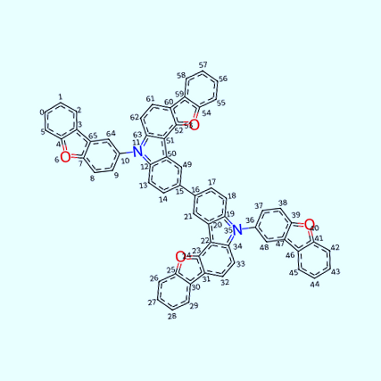 c1ccc2c(c1)oc1ccc(-n3c4ccc(-c5ccc6c(c5)c5c7oc8ccccc8c7ccc5n6-c5ccc6oc7ccccc7c6c5)cc4c4c5oc6ccccc6c5ccc43)cc12